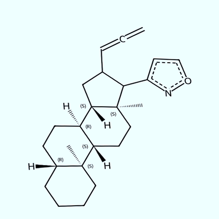 C=C=CC1C[C@H]2[C@@H]3CC[C@H]4CCCC[C@]4(C)[C@H]3CC[C@]2(C)C1c1ccon1